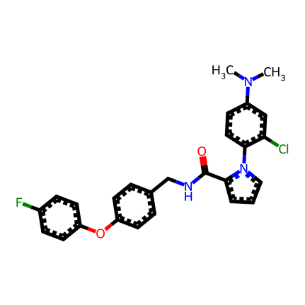 CN(C)c1ccc(-n2cccc2C(=O)NCc2ccc(Oc3ccc(F)cc3)cc2)c(Cl)c1